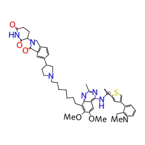 CNCc1ccccc1-c1csc([C@H](C)Nc2nc(C)nc3c(CCCCCCCN4CCC(c5ccc6c(c5)C(=O)N(C5CCC(=O)NC5=O)C6)CC4)c(OC)c(OC)cc23)c1